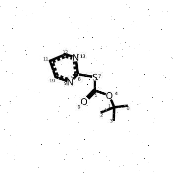 CC(C)(C)OC(=O)Sc1ncccn1